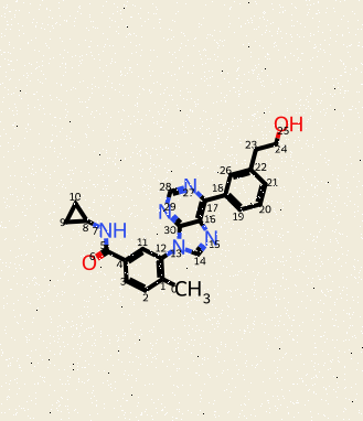 Cc1ccc(C(=O)NC2CC2)cc1-n1cnc2c(-c3cccc(CCO)c3)ncnc21